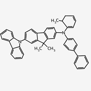 CC1CC=CC=C1N(c1ccc(-c2ccccc2)cc1)c1ccc2c(c1)C(C)(C)c1cc(-n3c4ccccc4c4ccccc43)ccc1-2